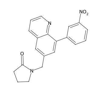 O=C1CCCN1Cc1cc(-c2cccc([N+](=O)[O-])c2)c2ncccc2c1